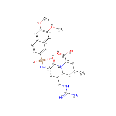 COc1cc2ccc(S(=O)(=O)N[C@@H](CCCNC(=N)N)C(=O)N3CCC(C)CC3C(=O)O)cc2cc1OC